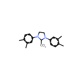 Cc1ccc(N2CCN(c3ccc(C)c(C)c3)C2C(Cl)(Cl)Cl)cc1C